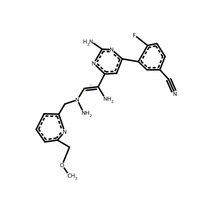 COCc1cccc(CN(N)/C=C(\N)c2cc(-c3cc(C#N)ccc3F)nc(N)n2)n1